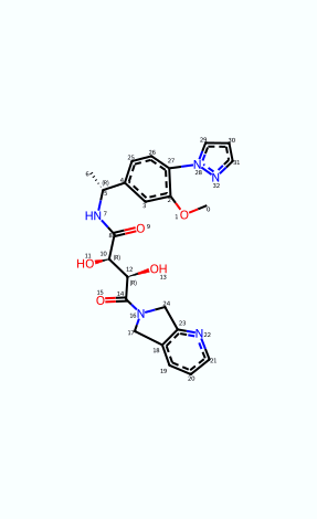 COc1cc([C@@H](C)NC(=O)[C@H](O)[C@@H](O)C(=O)N2Cc3cccnc3C2)ccc1-n1cccn1